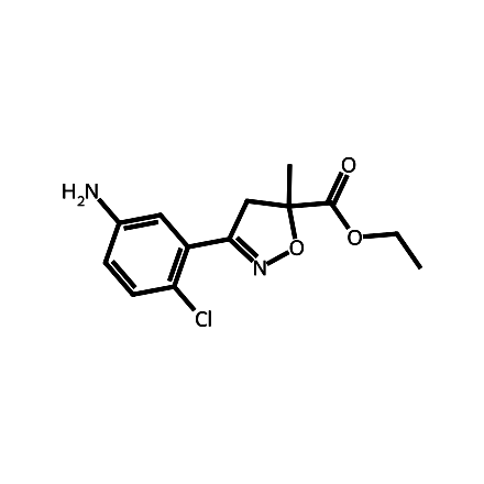 CCOC(=O)C1(C)CC(c2cc(N)ccc2Cl)=NO1